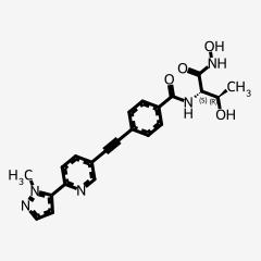 C[C@@H](O)[C@H](NC(=O)c1ccc(C#Cc2ccc(-c3ccnn3C)nc2)cc1)C(=O)NO